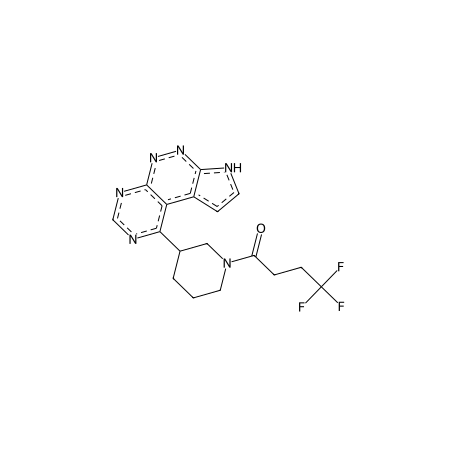 O=C(CCC(F)(F)F)N1CCCC(c2ncnc3nnc4[nH]ccc4c23)C1